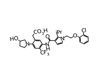 CC(C)c1c(C(=O)Nc2cc(CC(=O)O)c(N3CC[C@@H](O)C3)cc2C(F)(F)F)ccn1CCOc1ccccc1Cl